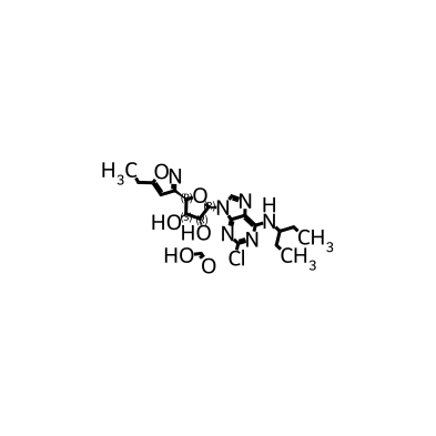 CCc1cc([C@H]2O[C@@H](n3cnc4c(NC(CC)CC)nc(Cl)nc43)[C@H](O)[C@@H]2O)no1.O=CO